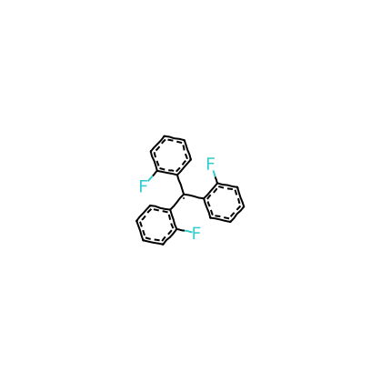 Fc1ccccc1[C](c1ccccc1F)c1ccccc1F